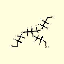 OCC(F)(F)C(F)(F)OC(F)(F)C(F)(OC(F)(F)C(F)(F)CO)C(F)(F)OC(F)(F)C(F)(F)CO